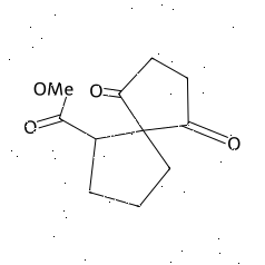 COC(=O)C1CCCC12C(=O)CCC2=O